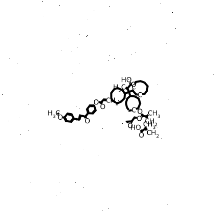 C=C(C(=O)O)C(C1CCCCCCCCC1)(C1CCCCCCCCC1)C1CCCCCCCCC1.C=C(C)C(=O)O.C=C(C)C(=O)OCC1CO1.C=CC(=O)Oc1ccc(C(=O)C=Cc2ccc(OC)cc2)cc1